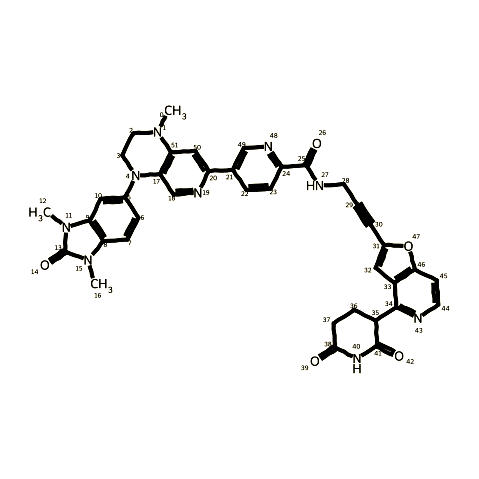 CN1CCN(c2ccc3c(c2)n(C)c(=O)n3C)c2cnc(-c3ccc(C(=O)NCC#Cc4cc5c(C6CCC(=O)NC6=O)nccc5o4)nc3)cc21